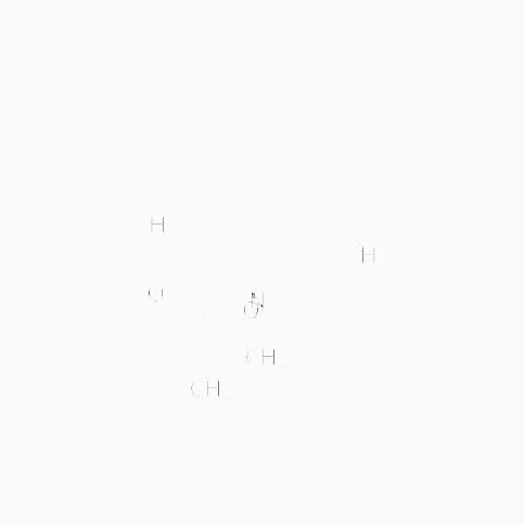 CC(=O)OC1[C@@H]2CCC[C@H]1CN(C)C2